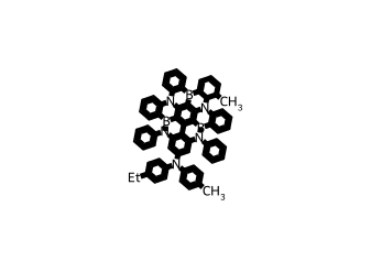 CCc1ccc(N(c2ccc(C)cc2)c2cc3c4c(c2)N(c2ccccc2)B2c5ccccc5N5c6c2c-4c2c4c6B(C6=CC=CC(C)C65)c5ccccc5N4c4ccccc4B2N3c2ccccc2)cc1